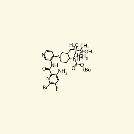 CC(C)(C)OC(=O)N[C@@H]1CCN(c2ccncc2NC(=O)c2nc(Br)c(F)cc2N)C[C@H]1CC(C)(C)[Si](C)(C)O